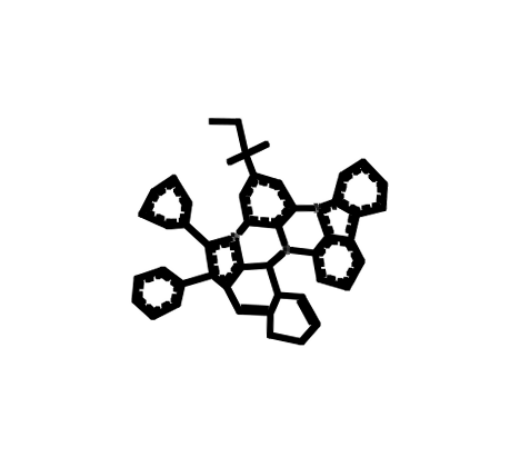 CCC(C)(C)c1cc2c3c(c1)-n1c4ccccc4c4cccc(c41)B3C1c3c(c(-c4ccccc4)c(-c4ccccc4)n3-2)C=C2CCC=CC21